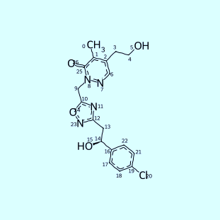 Cc1c(CCO)cnn(Cc2nc(C[C@H](O)c3ccc(Cl)cc3)no2)c1=O